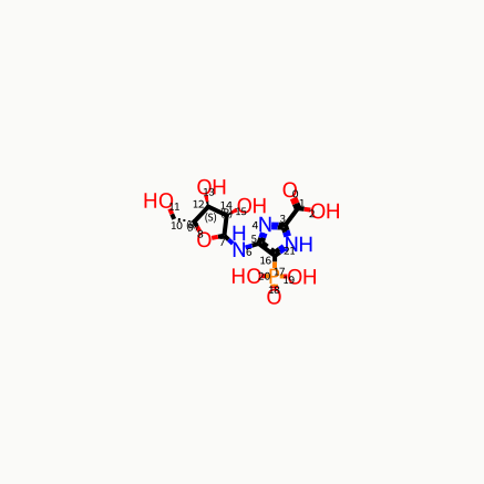 O=C(O)c1nc(NC2O[C@H](CO)[C@@H](O)[C@H]2O)c(P(=O)(O)O)[nH]1